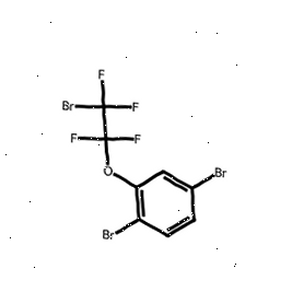 FC(F)(Br)C(F)(F)Oc1cc(Br)ccc1Br